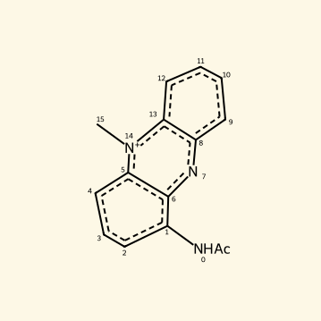 CC(=O)Nc1cccc2c1nc1ccccc1[n+]2C